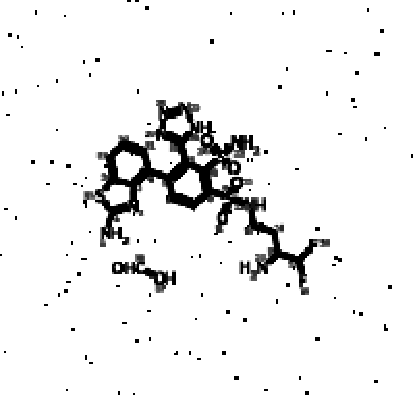 Nc1nc2c(-c3ccc(S(=O)(=O)NCCC(N)C(F)F)c(S(N)(=O)=O)c3-c3nnn[nH]3)cccc2s1.O=CO